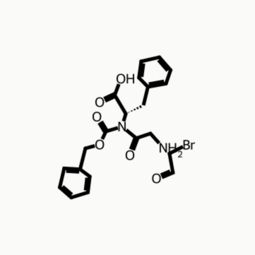 NCC(=O)N(C(=O)OCc1ccccc1)[C@@H](Cc1ccccc1)C(=O)O.O=CCBr